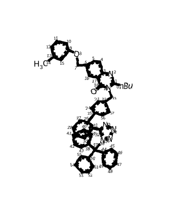 CCCCc1nc2ccc(COc3cccc(C)c3)cc2c(=O)n1Cc1ccc(-c2ccccc2-c2nnnn2C(c2ccccc2)(c2ccccc2)c2ccccc2)cc1